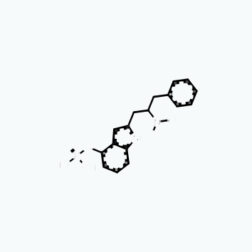 CN(C)C(Cc1ccccc1)Cc1cc2c(OP(=O)(O)O)cccc2[nH]1